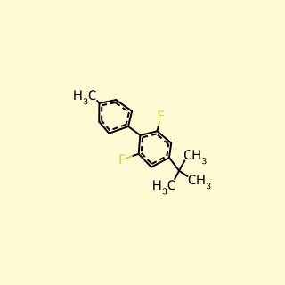 Cc1ccc(-c2c(F)cc(C(C)(C)C)cc2F)cc1